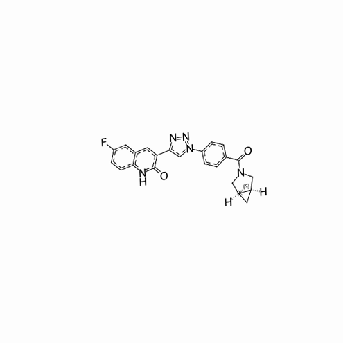 O=C(c1ccc(-n2cc(-c3cc4cc(F)ccc4[nH]c3=O)nn2)cc1)N1C[C@H]2C[C@H]2C1